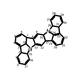 C1=CC2C3=CC=CC4C5=CC6C(C=C5N(C2C=C1)C34)c1cccc2c1N6C1C=CC=CC21